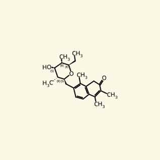 CC[C@H]1O[C@@H](Cc2ccc3c(c2C)CC(=O)C(C)=C3C)[C@H](C)[C@@H](O)[C@H]1C